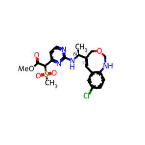 COC(=O)C(c1ccnc(N[C@@H](C)/C2=C/c3cc(Cl)ccc3NCOC2)n1)S(C)(=O)=O